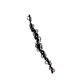 C=CC(=O)OCCCCOC(=O)Oc1ccc(C(=O)Oc2ccc(C(=O)OC3CO[C@@H]4C(OC(=O)c5ccc(OC(=O)c6ccc(OC(=O)OCCCCOC(=O)C=C)cc6)cc5)CO[C@H]34)cc2)cc1